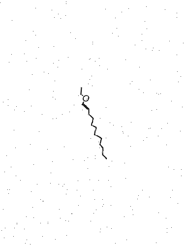 CCCCCCCCCCC=COCC